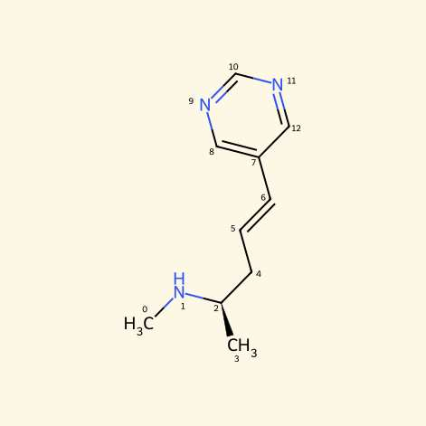 CN[C@H](C)C/C=C/c1cncnc1